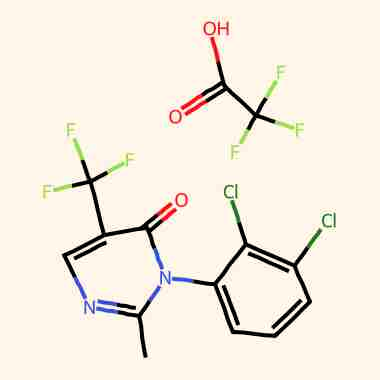 Cc1ncc(C(F)(F)F)c(=O)n1-c1cccc(Cl)c1Cl.O=C(O)C(F)(F)F